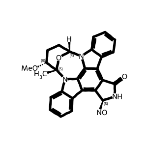 CO[C@@H]1CC[C@H]2O[C@]1(C)n1c3ccccc3c3c4c(c5c6ccccc6n2c5c31)C(=O)N[C@H]4N=O